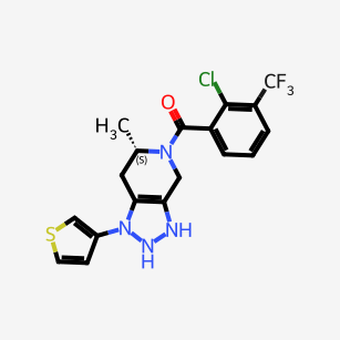 C[C@H]1CC2=C(CN1C(=O)c1cccc(C(F)(F)F)c1Cl)NNN2c1ccsc1